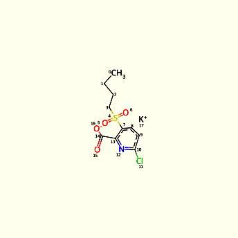 CCCCS(=O)(=O)c1ccc(Cl)nc1C(=O)[O-].[K+]